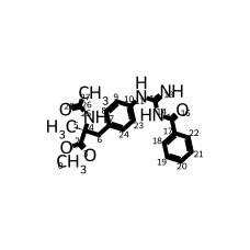 COC(=O)[C@](C)(Cc1ccc(NC(=N)NC(=O)c2ccccc2)cc1)NC(C)=O